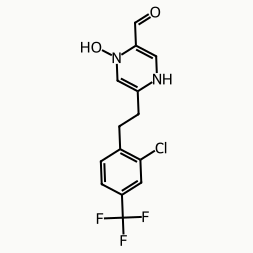 O=CC1=CNC(CCc2ccc(C(F)(F)F)cc2Cl)=CN1O